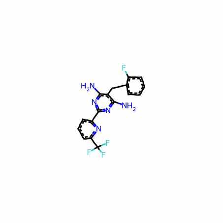 Nc1nc(-c2cccc(C(F)(F)F)n2)nc(N)c1Cc1ccccc1F